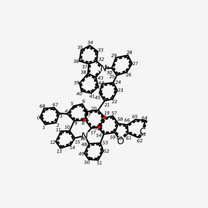 c1ccc(-c2ccccc2-c2ccccc2N(c2ccc(-c3ccc(-c4ccccc4-n4c5ccccc5c5ccccc54)cc3)cc2)c2ccccc2-c2cccc3c2oc2ccccc23)cc1